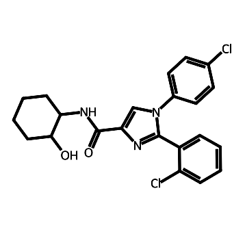 O=C(NC1CCCCC1O)c1cn(-c2ccc(Cl)cc2)c(-c2ccccc2Cl)n1